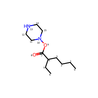 CCCCC(CC)C(=O)ON1CCNCC1